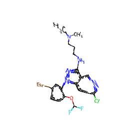 CN(C)CCCNc1nn(-c2cc(Br)ccc2OC(F)F)c2cc(Cl)ncc12